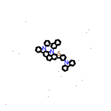 c1ccc(-n2c3ccccc3c3cc4ccc5cc6c7cc(-n8c9ccccc9c9ccccc98)ccc7sc6c6c5c4c(c32)n6-c2ccc3ccccc3c2)cc1